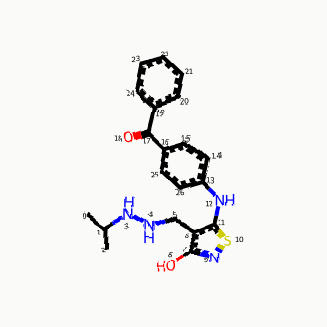 CC(C)NNCc1c(O)nsc1Nc1ccc(C(=O)c2ccccc2)cc1